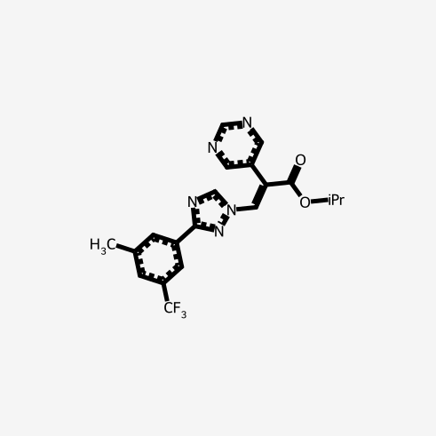 Cc1cc(-c2ncn(/C=C(/C(=O)OC(C)C)c3cncnc3)n2)cc(C(F)(F)F)c1